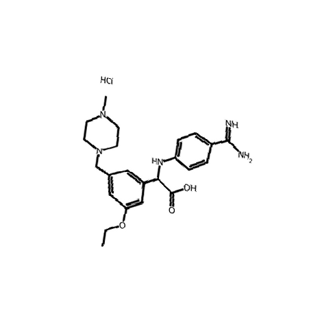 CCOc1cc(CN2CCN(C)CC2)cc(C(Nc2ccc(C(=N)N)cc2)C(=O)O)c1.Cl